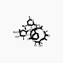 CC[C@H]1OC(=O)[C@H](C)[C@@H](OC2C[C@@](C)(OC)[C@@H](O)[C@H](C)O2)[C@H](C)[C@@H](OC2O[C@H](C)C[C@H](N(C)C)[C@H]2OC(=O)c2ccccc2)[C@](C)(OC)C[C@@H](C)C(=O)/C(C)=C/[C@]1(C)O